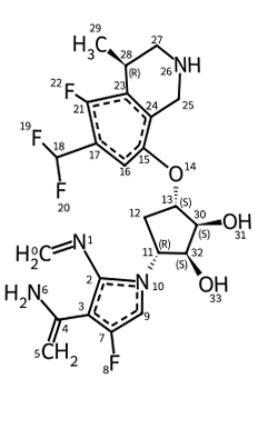 C=Nc1c(C(=C)N)c(F)cn1[C@@H]1C[C@H](Oc2cc(C(F)F)c(F)c3c2CNC[C@@H]3C)[C@@H](O)[C@H]1O